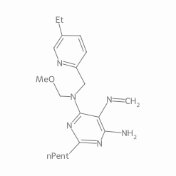 C=Nc1c(N)nc(CCCCC)nc1N(COC)Cc1ccc(CC)cn1